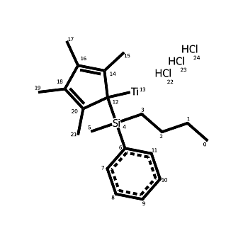 CCCC[Si](C)(c1ccccc1)[C]1([Ti])C(C)=C(C)C(C)=C1C.Cl.Cl.Cl